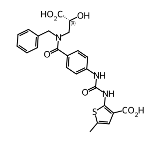 Cc1cc(C(=O)O)c(NC(=O)Nc2ccc(C(=O)N(Cc3ccccc3)C[C@@H](O)C(=O)O)cc2)s1